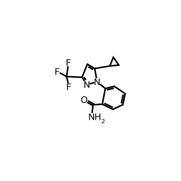 NC(=O)c1ccccc1-n1nc(C(F)(F)F)cc1C1CC1